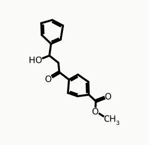 COC(=O)c1ccc(C(=O)CC(O)c2ccccc2)cc1